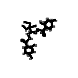 [CH2]C(CC)(CC)[C](OOC(=O)c1ccc(C)cc1C)OOC(=O)c1ccc(C)cc1C